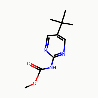 COC(=O)Nc1ncc(C(C)(C)C)cn1